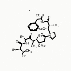 CC[C@H](C)[C@@H]([C@@H](CC(=O)N1CCC[C@H]1[C@H](OC)[C@@H](C)C(=O)NC(Cc1ccccc1)C(=O)O)OC)N(C)C(=O)[C@@H](NC(=O)[C@H](C(C)C)N(C)C(C)C)C(C)C